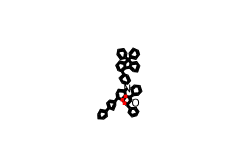 c1ccc(-c2ccc(-c3ccc(N(c4ccc(-c5cccc6c5-c5ccccc5C6(c5ccccc5)c5ccccc5)cc4)c4ccccc4-c4cccc5c4oc4ccccc45)cc3)cc2)cc1